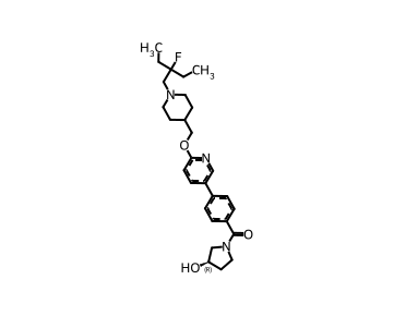 CCC(F)(CC)CN1CCC(COc2ccc(-c3ccc(C(=O)N4CC[C@@H](O)C4)cc3)cn2)CC1